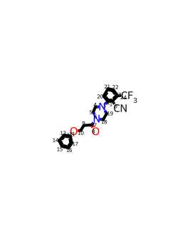 N#Cc1c(N2CCN(C(=O)CCOc3ccccc3)CC2)cccc1C(F)(F)F